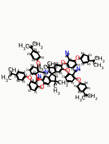 C=C(C)c1ccc(Oc2cccc(Oc3cc4c(cc3Oc3cccc(Oc5ccc(C(=C)C)cc5)c3C#N)C3(CC4(C)C)CC(C)(C)c4cc(Oc5cccc(Oc6ccc(C(=C)C)cc6)c5C#N)c(Oc5cccc(Oc6ccc(C(=C)C)cc6)c5C#N)cc43)c2C#N)cc1